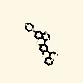 O=CC(c1ccccn1)c1cc(-c2ncnc3cc(N4CCOCC4)ccc23)c(F)cc1F